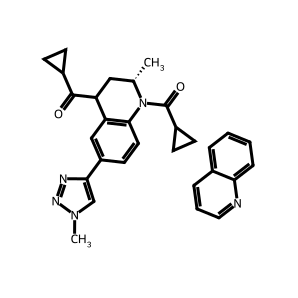 C[C@H]1CC(C(=O)C2CC2)c2cc(-c3cn(C)nn3)ccc2N1C(=O)C1CC1.c1ccc2ncccc2c1